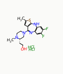 Cc1cc2c(s1)Nc1cc(F)c(F)cc1N=C2N1CCN(C)[C@@H](CCO)C1.Cl.Cl